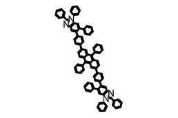 c1ccc(-c2cc3c(cc2-c2ccc(-c4ccc5c(-c6ccccc6)c6cc(-c7ccc(-c8cc9nc(-c%10ccccc%10)n(-c%10ccccc%10)c9cc8-c8ccccc8)cc7)ccc6c(-c6ccccc6)c5c4)cc2)nc(-c2ccccc2)n3-c2ccccc2)cc1